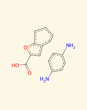 Nc1ccc(N)cc1.O=C(O)c1cc2ccccc2o1